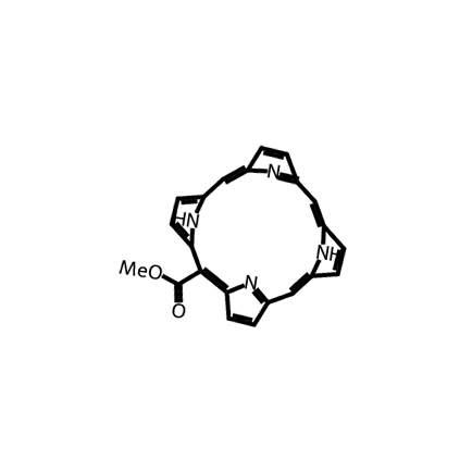 COC(=O)c1c2nc(cc3ccc(cc4nc(cc5ccc1[nH]5)C=C4)[nH]3)C=C2